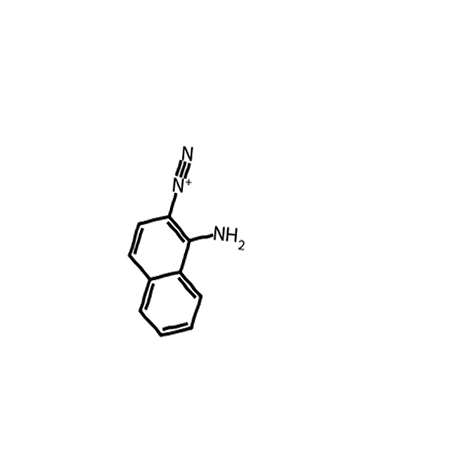 N#[N+]c1ccc2ccccc2c1N